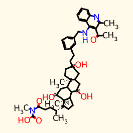 CC(=O)c1c(C)nc2ccccc2c1NCc1cccc(CC[C@@]2(O)CC[C@@]3(C)C(C[C@@H](O)C4C3C[C@H](O)[C@@]3(C)C4CC[C@@H]3C(C)CCC(=O)N(C)C(=O)O)C2)c1